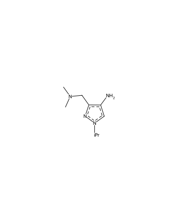 CC(C)n1cc(N)c(CN(C)C)n1